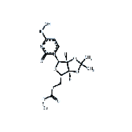 CC[C@@H](C)OC(=O)OC[C@H]1O[C@@H](n2ccc(NO)nc2=O)[C@@H]2OC(C)(C)O[C@@H]21